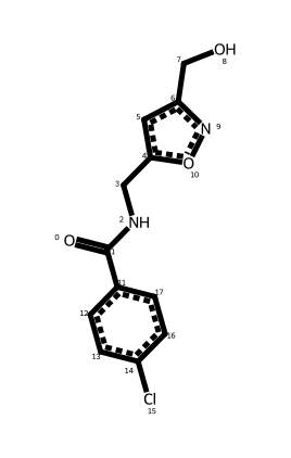 O=C(NCc1cc(CO)no1)c1ccc(Cl)cc1